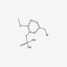 COc1ccc(CBr)cc1SP(=O)(O)O